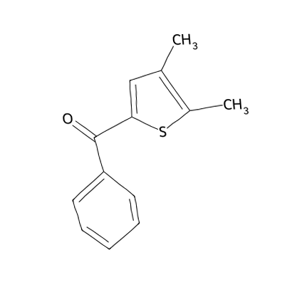 Cc1cc(C(=O)c2ccccc2)sc1C